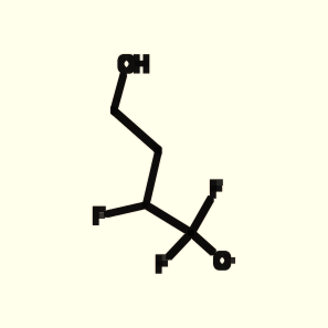 [O]C(F)(F)C(F)CCO